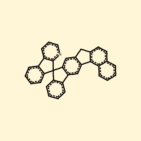 c1ccc2c(c1)-c1cc3c(cc1C21c2ccccc2-c2cccnc21)Cc1ccc2ccccc2c1-3